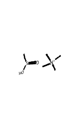 CS(=O)O.C[N+](C)(C)C